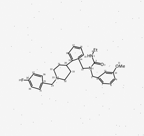 CCNC(=O)N(Cc1cccc(OC)c1)Cc1ccccc1C1CCN(Cc2ccc(F)cc2)CC1